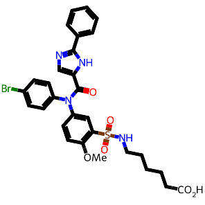 COc1ccc(N(C(=O)c2cnc(-c3ccccc3)[nH]2)c2ccc(Br)cc2)cc1S(=O)(=O)NCCCCCC(=O)O